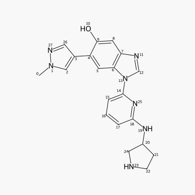 Cn1cc(-c2cc3c(cc2O)ncn3-c2cccc(NC3CCNC3)n2)cn1